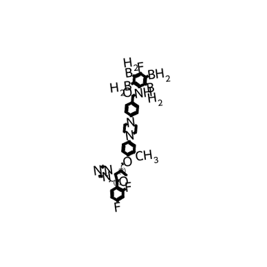 Bc1c(B)c(NC(=O)c2ccc(N3CCN(c4ccc(OC[C@@H]5CO[C@@](Cn6cncn6)(c6ccc(F)cc6F)C5)c(C)c4)CC3)cc2)c(B)c(B)c1F